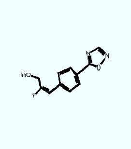 OC/C(F)=C\c1ccc(-c2ncno2)cc1